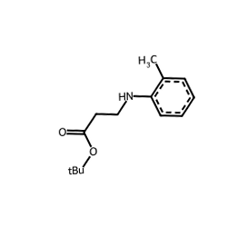 Cc1ccccc1NCCC(=O)OC(C)(C)C